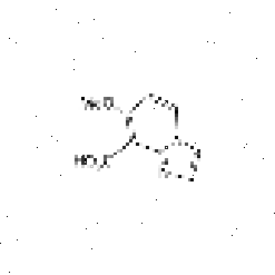 COc1ccn2ccnc2c1C(=O)O